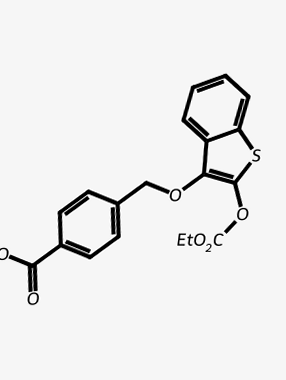 CCOC(=O)Oc1sc2ccccc2c1OCc1ccc(C(=O)OC)cc1